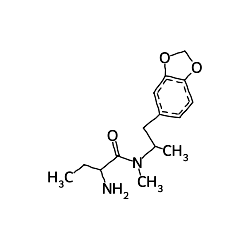 CCC(N)C(=O)N(C)C(C)Cc1ccc2c(c1)OCO2